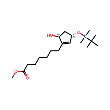 COC(=O)CCCCCCC1=C[C@@H](O[Si](C)(C)C(C)(C)C)C[C@@H]1O